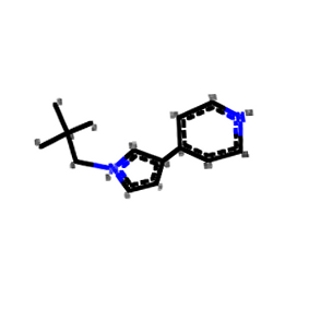 CC(C)(C)Cn1ccc(-c2ccncc2)c1